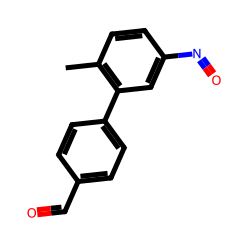 Cc1ccc(N=O)cc1-c1ccc(C=O)cc1